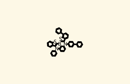 c1ccc(-c2ccc(N3c4cccc5c4B(c4sc6ccccc6c4N5c4ccccc4)c4sc5c(-c6ccccc6)cccc5c43)cc2)cc1